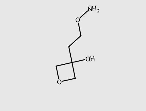 NOCCC1(O)COC1